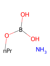 CCCOB(O)O.N